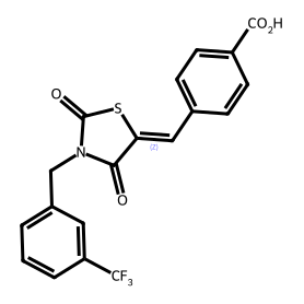 O=C(O)c1ccc(/C=C2\SC(=O)N(Cc3cccc(C(F)(F)F)c3)C2=O)cc1